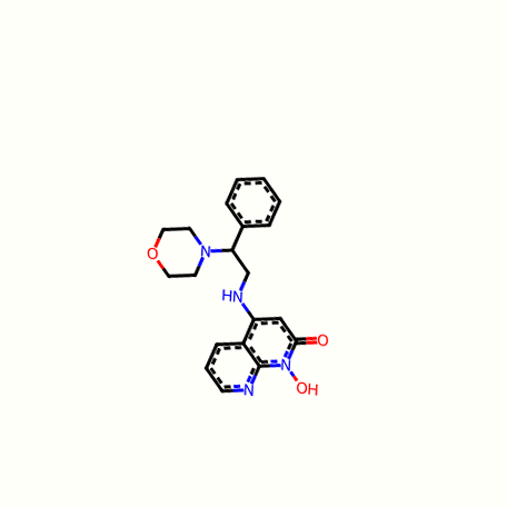 O=c1cc(NCC(c2ccccc2)N2CCOCC2)c2cccnc2n1O